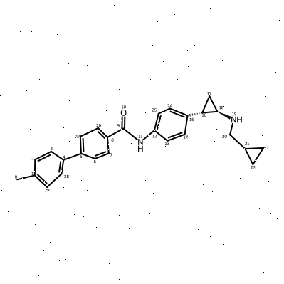 Cc1ccc(-c2ccc(C(=O)Nc3ccc([C@@H]4C[C@H]4NCC4CC4)cc3)cc2)cc1